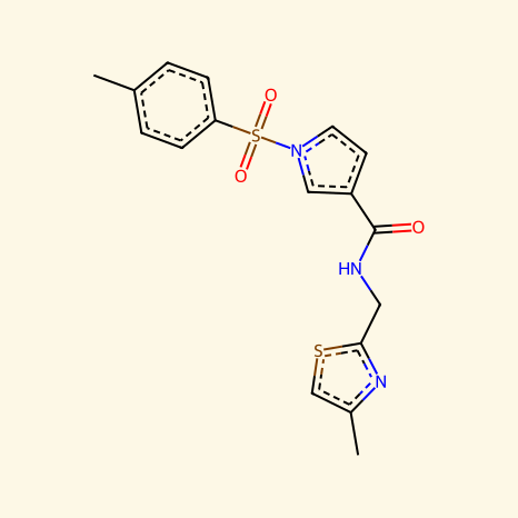 Cc1ccc(S(=O)(=O)n2ccc(C(=O)NCc3nc(C)cs3)c2)cc1